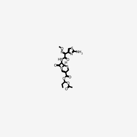 CCC(OC(C)=O)OC(=O)C1=CN2C(=O)C(NC(=O)C(=NOC)c3csc(N)n3)[C@H]2SC1